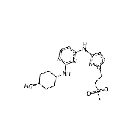 CS(=O)(=O)CCn1ccc(Nc2ccnc(N[C@H]3CC[C@H](O)CC3)n2)n1